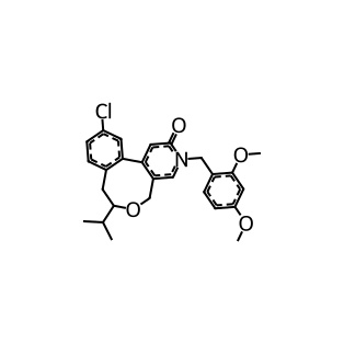 COc1ccc(Cn2cc3c(cc2=O)-c2cc(Cl)ccc2CC(C(C)C)OC3)c(OC)c1